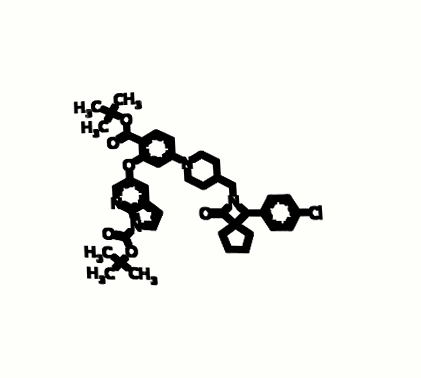 CC(C)(C)OC(=O)c1ccc(N2CCC(CN3C(=O)C4(CCCC4)C3c3ccc(Cl)cc3)CC2)cc1Oc1cnc2c(ccn2C(=O)OC(C)(C)C)c1